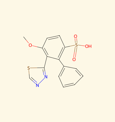 COc1ccc(S(=O)(=O)O)c(-c2ccccc2)c1-c1nncs1